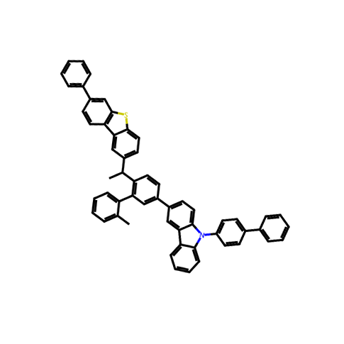 Cc1ccccc1-c1cc(-c2ccc3c(c2)c2ccccc2n3-c2ccc(-c3ccccc3)cc2)ccc1C(C)c1ccc2sc3cc(-c4ccccc4)ccc3c2c1